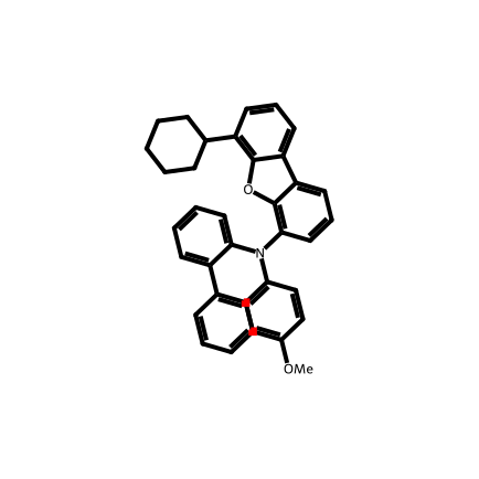 COc1ccc(N(c2ccccc2-c2ccccc2)c2cccc3c2oc2c(C4CCCCC4)cccc23)cc1